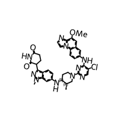 COc1cc2cc(Nc3nc(N4CC[C@@H](Nc5ccc6c(C7CCC(=O)NC7=O)nn(C)c6c5)[C@H](C)C4)ncc3Cl)ccc2n2ccnc12